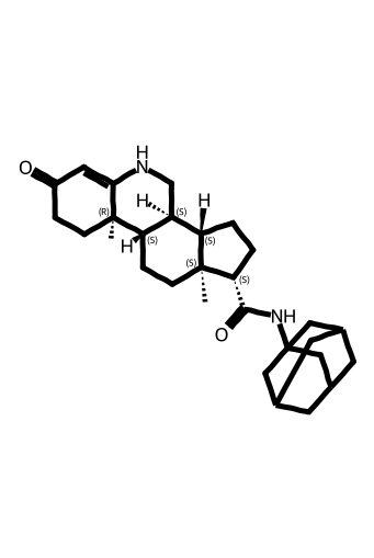 C[C@]12CC[C@H]3[C@@H](CNC4=CC(=O)CC[C@@]43C)[C@@H]1CC[C@@H]2C(=O)NC12CC3CC(CC(C3)C1)C2